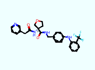 O=C(Cc1cccnc1)N[C@@]1(C(=O)NCc2ccc(Nc3ccccc3C(F)(F)F)cc2)CCOC1